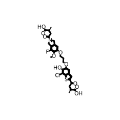 COc1c(OCCCOc2cc3cc(C(=O)C[C@H](C)C(=O)O)sc3c(Cl)c2O)cc2c(c1F)CN(C(=O)C[C@H](C)C(=O)O)C2